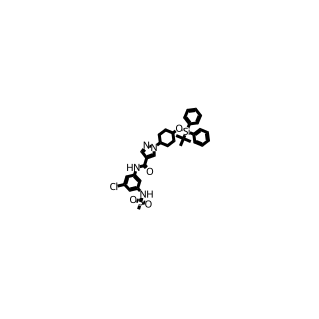 CC(C)(C)[Si](OC1CCC(n2cc(C(=O)Nc3cc(Cl)cc(NS(C)(=O)=O)c3)cn2)CC1)(c1ccccc1)c1ccccc1